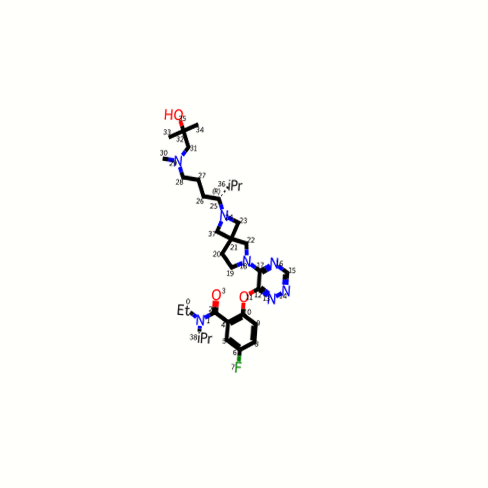 CCN(C(=O)c1cc(F)ccc1Oc1nncnc1N1CCC2(C1)CN([C@H](CCCN(C)CC(C)(C)O)C(C)C)C2)C(C)C